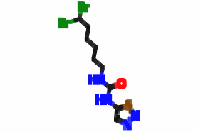 O=C(NCCCCCC(Br)Br)Nc1cnns1